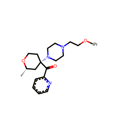 CC(C)OCCN1CCN([C@@]2(C(=O)c3ccccn3)CCO[C@@H](C)C2)CC1